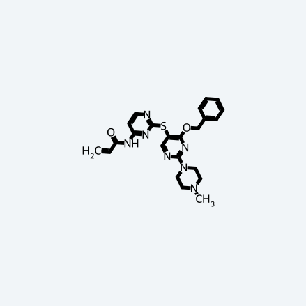 C=CC(=O)Nc1ccnc(Sc2cnc(N3CCN(C)CC3)nc2OCc2ccccc2)n1